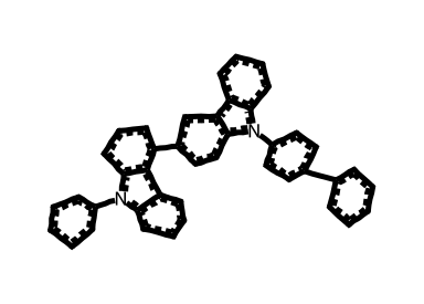 c1ccc(-c2ccc(-n3c4ccccc4c4cc(-c5cccc6c5c5ccccc5n6-c5ccccc5)ccc43)cc2)cc1